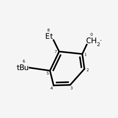 [CH2]c1cccc(C(C)(C)C)c1CC